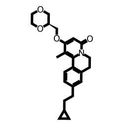 Cc1c(OC[C@@H]2COCCO2)cc(=O)n2c1-c1ccc(CCC3CC3)cc1CC2